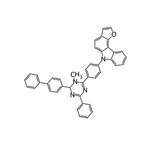 CN1C(c2ccc(-n3c4ccccc4c4c5occc5ccc43)cc2)=NC(c2ccccc2)=NC1c1ccc(-c2ccccc2)cc1